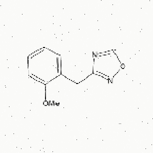 COc1ccccc1Cc1n[c]on1